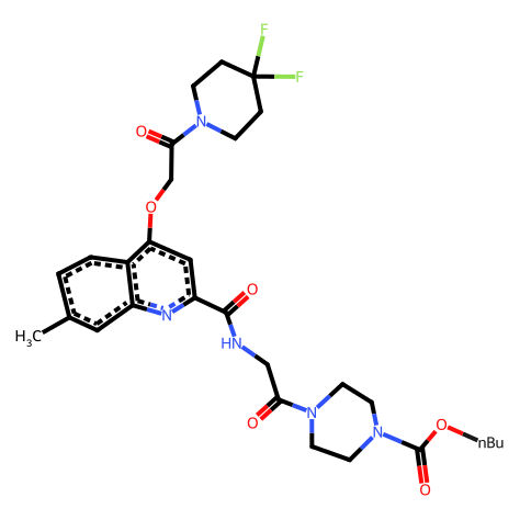 CCCCOC(=O)N1CCN(C(=O)CNC(=O)c2cc(OCC(=O)N3CCC(F)(F)CC3)c3ccc(C)cc3n2)CC1